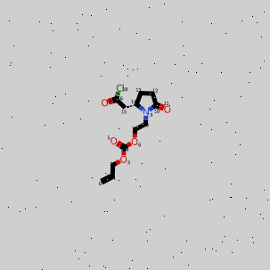 C=CCOC(=O)OCCN1C(=O)CC[C@H]1CC(=O)Cl